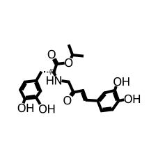 CC(C)OC(=O)[C@@H](Cc1ccc(O)c(O)c1)NCC(=O)C=Cc1ccc(O)c(O)c1